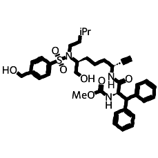 C#C[C@@H](CCC[C@@H](CO)N(CCC(C)C)S(=O)(=O)c1ccc(CO)cc1)NC(=O)[C@@H](NC(=O)OC)C(c1ccccc1)c1ccccc1